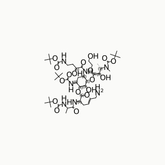 CC(NC(=O)OC(C)(C)C)C(=O)N[C@@H]1CC=C(CN)O[C@@H]1O[C@H]1[C@H](O)[C@@H](O[C@@H](OCCO)[C@H](O)[C@H](C)N(C)C(=O)OC(C)(C)C)[C@H](NC(=O)[C@@H](O)CCNC(=O)OC(C)(C)C)C[C@@H]1NC(=O)OC(C)(C)C